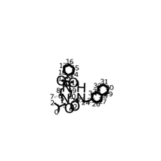 CC(C)C(=O)N1[C@H](C)CN(S(=O)(=O)c2ccccc2)C[C@@H]1C(=O)NCc1ccc2ccccc2c1